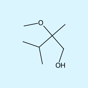 COC(C)(CO)C(C)C